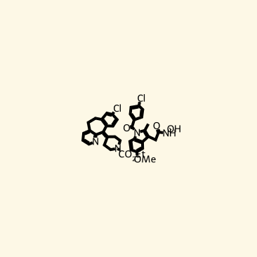 CCOC(=O)N1CCC(=C2c3ccc(Cl)cc3CCc3cccnc32)CC1.COc1ccc2c(c1)c(CC(=O)NO)c(C)n2C(=O)c1ccc(Cl)cc1